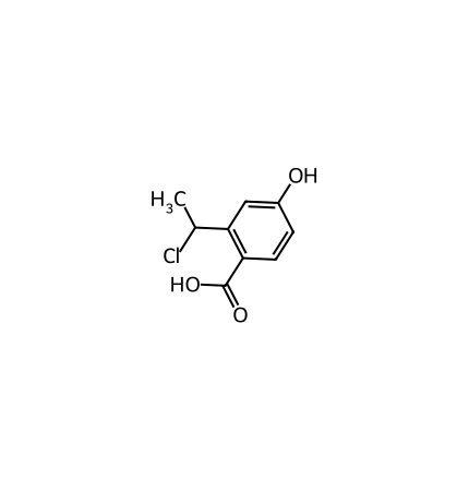 CC(Cl)c1cc(O)ccc1C(=O)O